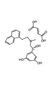 CN(CCc1cccc2ccccc12)C[C@@H](O)c1cc(O)cc(O)c1.O=C(O)/C=C/C(=O)O